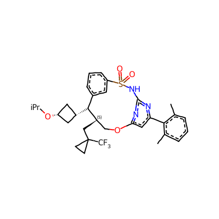 Cc1cccc(C)c1-c1cc2nc(n1)NS(=O)(=O)c1cccc(c1)C([C@H]1C[C@@H](OC(C)C)C1)[C@H](CC1(C(F)(F)F)CC1)CO2